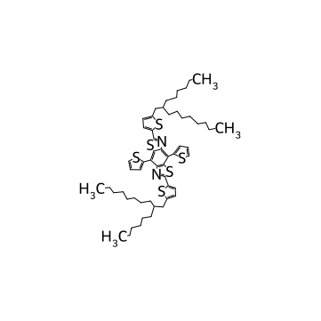 CCCCCCCCC(CCCCCC)Cc1ccc(-c2nc3c(-c4cccs4)c4sc(-c5ccc(CC(CCCCCC)CCCCCCCC)s5)nc4c(-c4cccs4)c3s2)s1